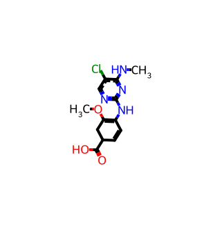 CNc1nc(NC2=C(OC)CC(C(=O)O)C=C2)ncc1Cl